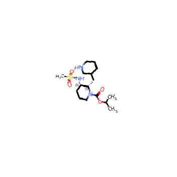 CC(C)OC(=O)N1CCC[C@H](NS(C)(=O)=O)[C@@H]1CC1CCCNC1